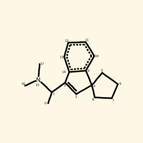 CC(C1=CC2(CCCC2)c2ccccc21)N(C)C